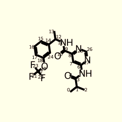 CC(C)C(=O)Nc1cc(C(=O)NC(C)c2cccc(OC(F)(F)F)c2)ncn1